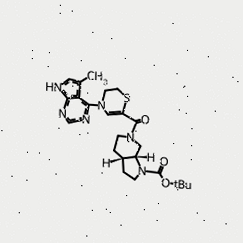 Cc1c[nH]c2ncnc(N3C=C(C(=O)N4CC[C@H]5CCN(C(=O)OC(C)(C)C)[C@H]5C4)SCC3)c12